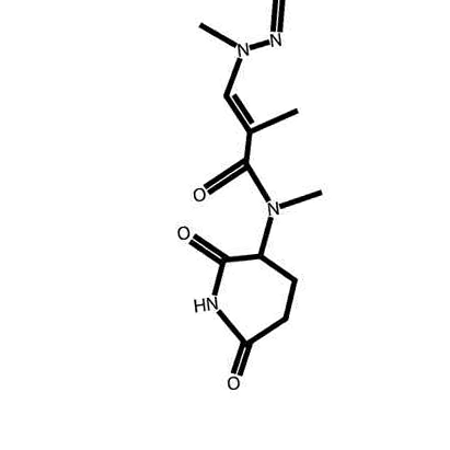 C=NN(C)/C=C(\C)C(=O)N(C)C1CCC(=O)NC1=O